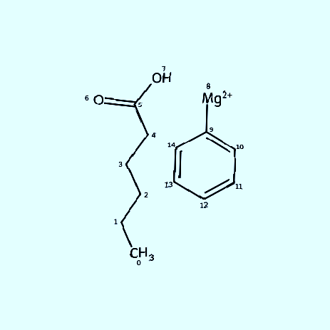 CCCCCC(=O)O.[Mg+2][c]1ccccc1